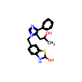 CC(O)Cc1c(-c2ccccc2)ncn1Cc1ccc2c(c1)SC(O)N2